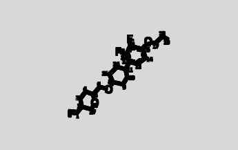 C=CC1CCC(COC2CCC(c3ccc(OCCC)c(F)c3F)CC2)OC1